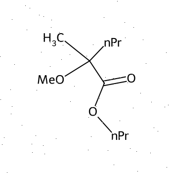 CCCOC(=O)C(C)(CCC)OC